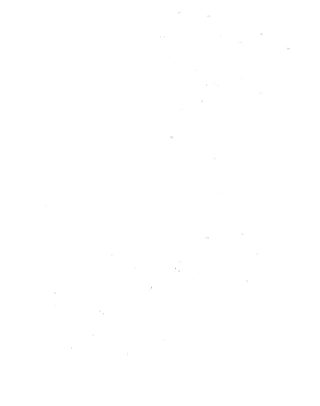 C=C(/C=C\C=C/C)n1c2ccccc2c2ccc3c(c4ccccc4n3-c3cccc(-c4cccc(-c5cccc(-n6c7ccccc7c7ccccc76)c5)c4)c3)c21